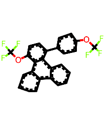 FC(F)(F)Oc1ccc(-c2ccc(OC(F)(F)F)c3c4ccccc4c4ccccc4c23)cc1